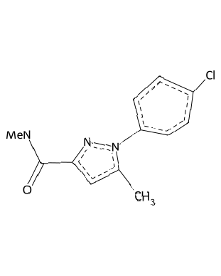 CNC(=O)c1cc(C)n(-c2ccc(Cl)cc2)n1